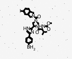 Bc1ccc(-c2c[nH]c(C3CN(C(=O)N4Cc5ccc(I)cc5C4)CN3C(=O)[C@@H](NC(=O)OC)C(C)C)n2)cc1